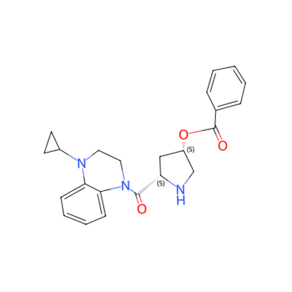 O=C(O[C@@H]1CN[C@H](C(=O)N2CCN(C3CC3)c3ccccc32)C1)c1ccccc1